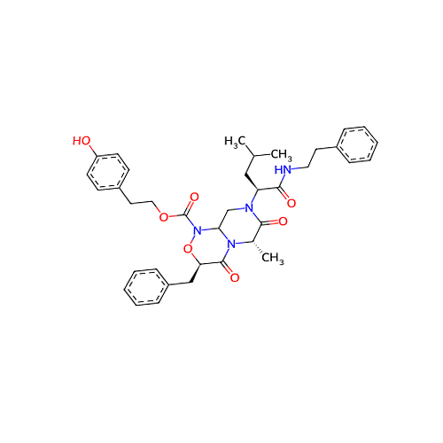 CC(C)C[C@@H](C(=O)NCCc1ccccc1)N1CC2N(C(=O)OCCc3ccc(O)cc3)O[C@H](Cc3ccccc3)C(=O)N2[C@@H](C)C1=O